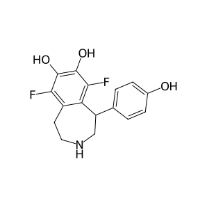 Oc1ccc(C2CNCCc3c(F)c(O)c(O)c(F)c32)cc1